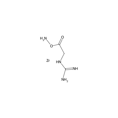 N=C(N)NCC(=O)ON.[Zr]